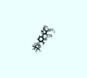 CC(C)n1nc(-c2ccc(B3OC(C)(C)C(C)(C)O3)c(F)c2F)c(C#N)c1N